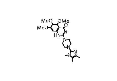 COc1cc2[nH]c(N3CCN(c4nc(C)c(C)n4C)CC3)nc(=O)c2c(OC)c1OC